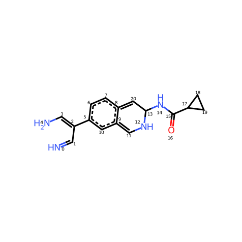 N=C/C(=C\N)c1ccc2c(c1)=CNC(NC(=O)C1CC1)C=2